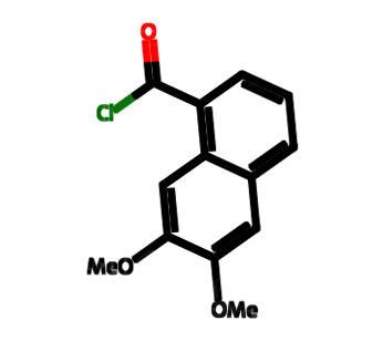 COc1cc2cccc(C(=O)Cl)c2cc1OC